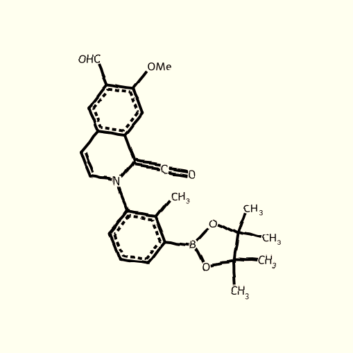 COc1cc2c(cc1C=O)C=CN(c1cccc(B3OC(C)(C)C(C)(C)O3)c1C)C2=C=O